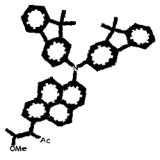 CO/C(C)=C(\C(C)=O)c1ccc2ccc3c(N(c4ccc5c(c4)C(C)(C)c4ccccc4-5)c4ccc5c(c4)C(C)(C)c4ccccc4-5)ccc4ccc1c2c43